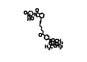 CC1(C)OB(c2ccc(C(=O)CCCCC#Cc3cccc4c3CN(C3CCC(=O)NC3=O)C4=O)cc2)OC1(C)C